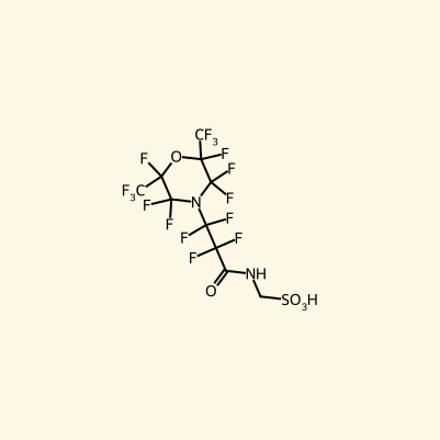 O=C(NCS(=O)(=O)O)C(F)(F)C(F)(F)N1C(F)(F)C(F)(C(F)(F)F)OC(F)(C(F)(F)F)C1(F)F